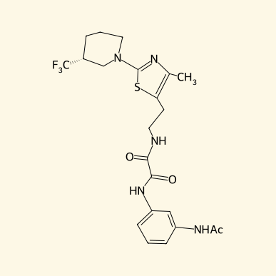 CC(=O)Nc1cccc(NC(=O)C(=O)NCCc2sc(N3CCC[C@@H](C(F)(F)F)C3)nc2C)c1